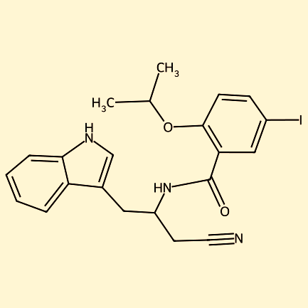 CC(C)Oc1ccc(I)cc1C(=O)NC(CC#N)Cc1c[nH]c2ccccc12